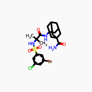 CC(C)(NS(=O)(=O)c1cc(Cl)cc(Br)c1)C(=O)NC12CC3CC(C1)CC(C(N)=O)(C3)C2